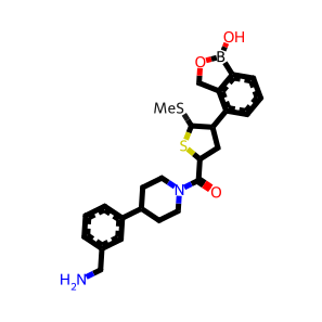 CSC1SC(C(=O)N2CCC(c3cccc(CN)c3)CC2)CC1c1cccc2c1COB2O